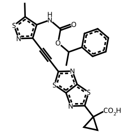 Cc1snc(C#Cc2nc3sc(C4(C(=O)O)CC4)nc3s2)c1NC(=O)OC(C)c1ccccc1